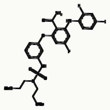 COCCN(CCOC)S(=O)(=O)Nc1cccc(Oc2cc(F)cc(Nc3ccc(I)cc3F)c2C(N)=O)c1